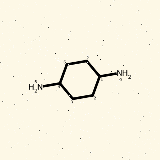 N[C]1CCC(N)CC1